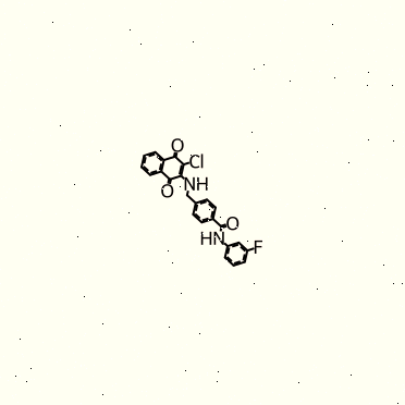 O=C(Nc1cccc(F)c1)c1ccc(CNC2=C(Cl)C(=O)c3ccccc3C2=O)cc1